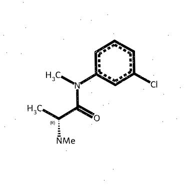 CN[C@H](C)C(=O)N(C)c1cccc(Cl)c1